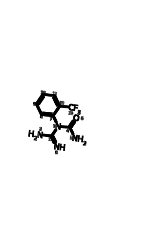 N=C(N)N(C(N)=O)c1ccccc1C(F)(F)F